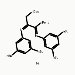 CCCCCCCCCCCC(=Nc1cc(CCCC)cc(CCCC)c1)C(CCCCC)=Nc1cc(CCCC)cc(CCCC)c1.[Ni]